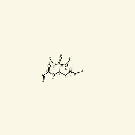 C=CC(=O)OC(CNCC)P(=O)(OC)OC